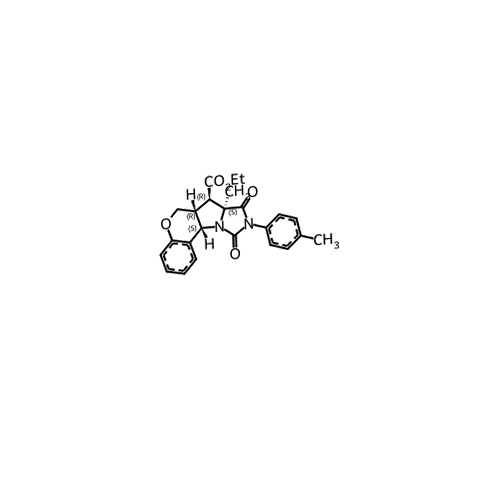 CCOC(=O)[C@@H]1[C@H]2COc3ccccc3[C@H]2N2C(=O)N(c3ccc(C)cc3)C(=O)[C@]12C